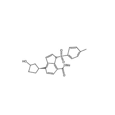 COC(=O)c1ccc([C@H]2CCC(O)C2)c2ccn(S(=O)(=O)c3ccc(C)cc3)c12